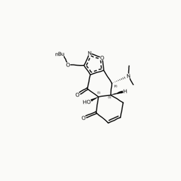 CCCCOc1noc2c1C(=O)[C@@]1(O)C(=O)C=CC[C@H]1[C@H]2N(C)C